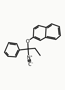 [C-]#[N+]C(CC)(Oc1ccc2ccccc2c1)c1ccccc1